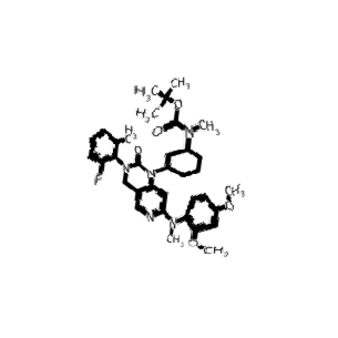 COc1ccc(N(C)c2cc3c(cn2)CN(c2c(C)cccc2F)C(=O)N3C2CCCC(N(C)C(=O)OC(C)(C)C)C2)c(OC)c1